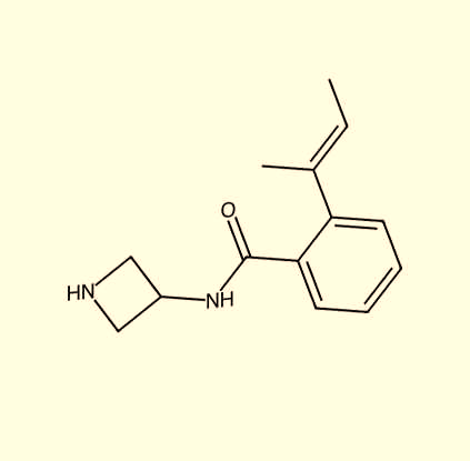 C/C=C(\C)c1ccccc1C(=O)NC1CNC1